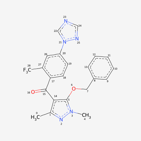 Cc1nn(C)c(OCc2ccccc2)c1C(=O)c1ccc(-n2cncn2)cc1C(F)(F)F